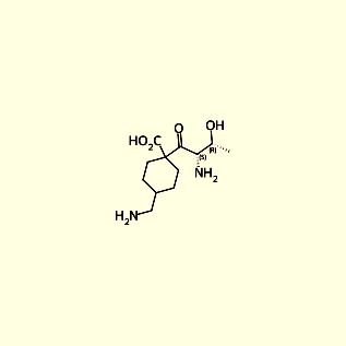 C[C@@H](O)[C@H](N)C(=O)C1(C(=O)O)CCC(CN)CC1